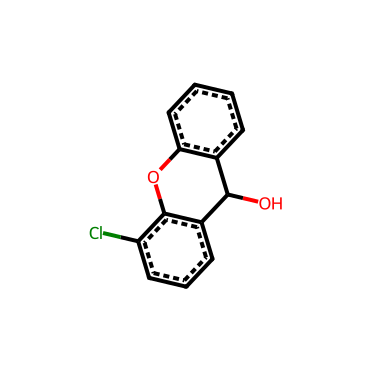 OC1c2ccccc2Oc2c(Cl)cccc21